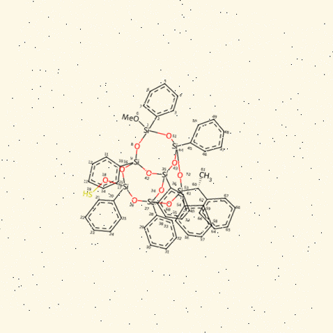 CO[Si]1(c2ccccc2)O[Si]2(c3ccccc3)O[Si](OS)(c3ccccc3)O[Si]3(c4ccccc4)O[Si](c4ccccc4)(O2)O[Si](c2ccccc2)(O1)O[Si](c1ccccc1)([C@H](C)c1ccccc1)O3